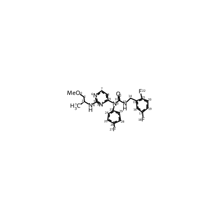 COC[C@H](C)Nc1nccc(N(C(=O)NCc2cc(F)ccc2F)c2ccc(F)cc2)n1